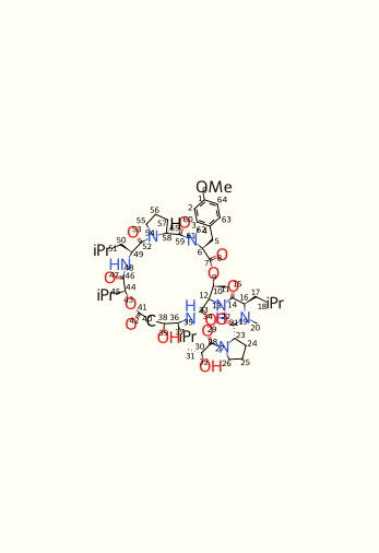 COc1ccc(C[C@H]2C(=O)O[C@@H](C)[C@@H](NC(=O)[C@@H](CC(C)C)N(C)C(=O)[C@@H]3CCCN3C(=O)[C@@H](C)O)C(=O)N[C@@H](C(C)C)[C@@H](O)CC(=O)O[C@@H](C(C)C)C(=O)N[C@@H](CC(C)C)C(=O)N3CCC[C@H]3C(=O)N2C)cc1